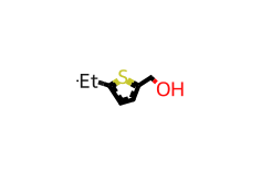 C[CH]c1ccc(CO)s1